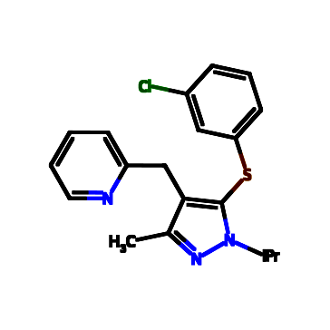 Cc1nn(C(C)C)c(Sc2cccc(Cl)c2)c1Cc1ccccn1